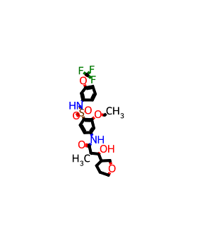 CCOc1cc(NC(=O)C(C)C(O)C2CCCOC2)ccc1S(=O)(=O)Nc1cccc(OC(F)(F)F)c1